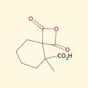 CC1(C(=O)O)CCCCC12C(=O)OC2=O